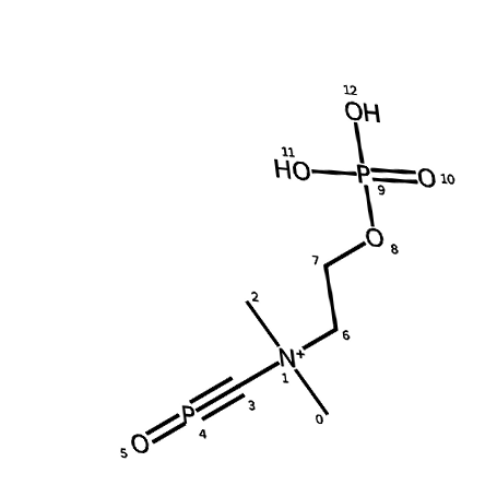 C[N+](C)(C#P=O)CCOP(=O)(O)O